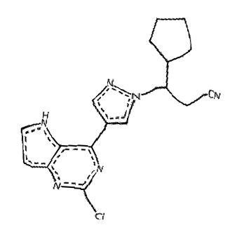 N#CCC(C1CCCC1)n1cc(-c2nc(Cl)nc3cc[nH]c23)cn1